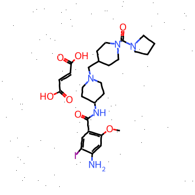 COc1cc(N)c(I)cc1C(=O)NC1CCN(CC2CCN(C(=O)N3CCCC3)CC2)CC1.O=C(O)/C=C/C(=O)O